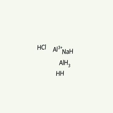 Cl.[Al+3].[AlH3].[HH].[NaH]